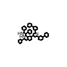 N=C(/C(=C1\NC(c2ccccc2)=Cc2ccc(-c3cc(-c4cccc(-c5ccccc5)c4)nc(-c4cccc(-c5ccccc5)c4)c3)cc21)c1ccccc1)c1ccccc1